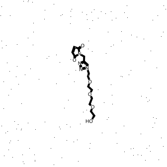 O=C1C=CC(=O)N1Cc1cn(CCOCCOCCOCCO)nn1